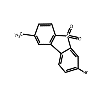 Cc1ccc2c(c1)-c1ccc(Br)cc1S2(=O)=O